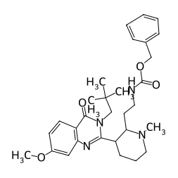 COc1ccc2c(=O)n(CC(C)(C)C)c(C3CCCN(C)C3CCNC(=O)OCc3ccccc3)nc2c1